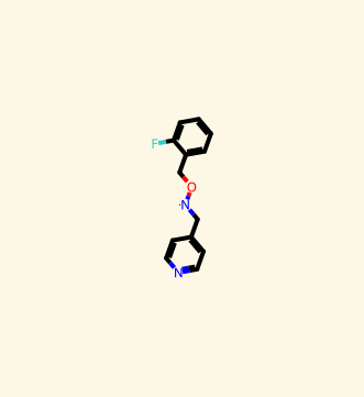 Fc1ccccc1CO[N]Cc1ccncc1